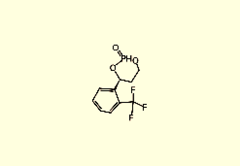 O=[PH]1OCC[C@@H](c2ccccc2C(F)(F)F)O1